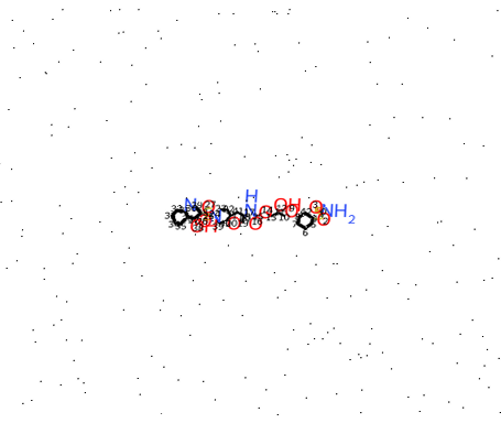 NS(=O)(=O)c1cccc(OCC(O)COC(=O)N[C@H]2COC3(CCN(S(=O)(=O)c4cnc5ccccc5c4O)CC3)C2)c1